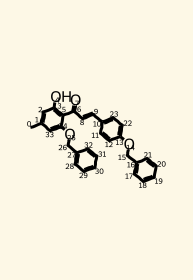 Cc1cc(O)c(C(=O)/C=C/c2ccc(OCc3ccccc3)cc2)c(OCc2ccccc2)c1